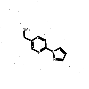 CNCc1ccc(-n2cccn2)nc1